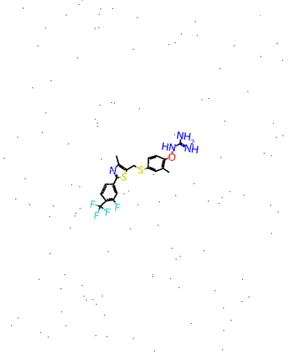 Cc1cc(SCc2sc(-c3ccc(C(F)(F)F)c(F)c3)nc2C)ccc1ONC(=N)N